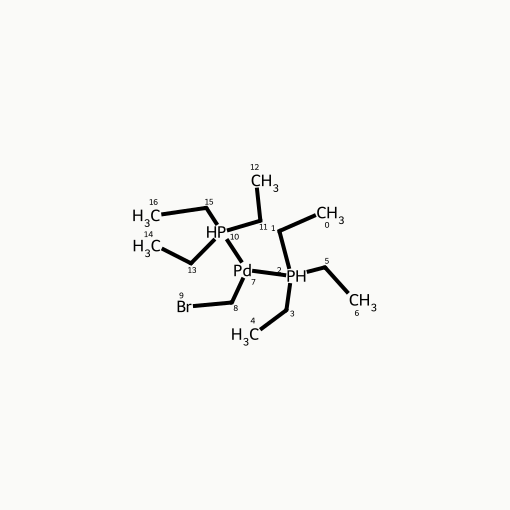 CC[PH](CC)(CC)[Pd]([CH2]Br)[PH](CC)(CC)CC